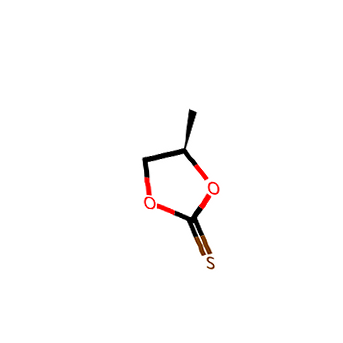 C[C@@H]1COC(=S)O1